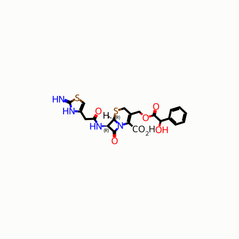 N=c1[nH]c(CC(=O)N[C@@H]2C(=O)N3C(C(=O)O)=C(COC(=O)C(O)c4ccccc4)CS[C@H]23)cs1